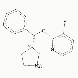 Fc1cccnc1OC(c1ccccc1)[C@H]1CCNC1